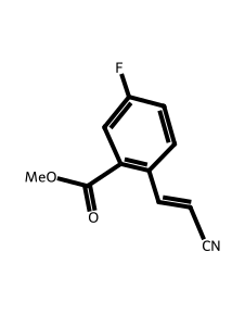 COC(=O)c1cc(F)ccc1C=CC#N